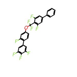 Fc1cc(OC(F)(F)c2c(F)cc(-c3ccccc3)cc2F)ccc1-c1cc(F)c(F)c(F)c1